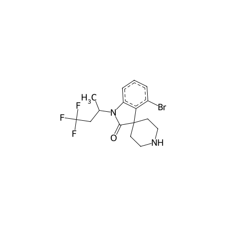 CC(CC(F)(F)F)N1C(=O)C2(CCNCC2)c2c(Br)cccc21